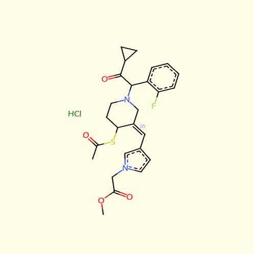 COC(=O)Cn1ccc(/C=C2/CN(C(C(=O)C3CC3)c3ccccc3F)CCC2SC(C)=O)c1.Cl